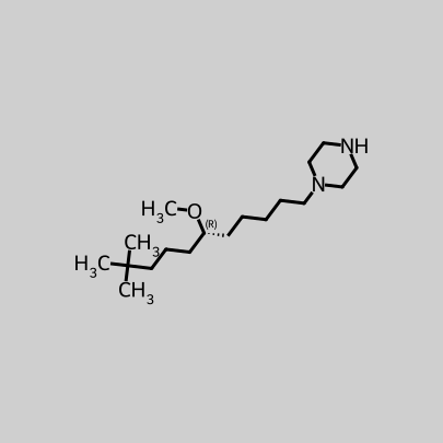 CO[C@H](CCCCCN1CCNCC1)CCCC(C)(C)C